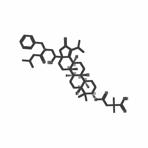 CC(C)CC(=O)N(Cc1ccccc1)CC(O)C12CC[C@]3(C)[C@H](CC[C@@H]4[C@@]5(C)CC[C@H](OC(=O)CC(C)(C)C(=O)O)C(C)(C)[C@@H]5CC[C@]43C)C1=C(C(C)C)C(=O)C2